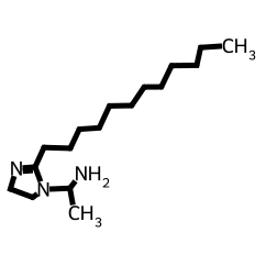 CCCCCCCCCCCCC1=NCCN1C(C)N